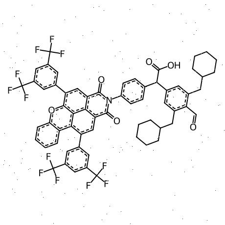 O=Cc1c(CC2CCCCC2)cc(C(C(=O)O)c2ccc(-n3c(=O)c4cc(-c5cc(C(F)(F)F)cc(C(F)(F)F)c5)c5oc6ccccc6c6c(-c7cc(C(F)(F)F)cc(C(F)(F)F)c7)cc(c3=O)c4c56)cc2)cc1CC1CCCCC1